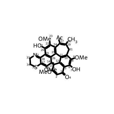 COC1=CC(=O)c2c(O)c(OC)c3c4c2c1c1c(OC)c2c(c5c(O)c(OC)c(c4c15)C(C(C)=O)=C(C)C3)=NCCS2